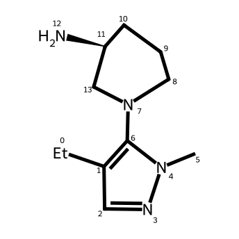 CCc1cnn(C)c1N1CCC[C@H](N)C1